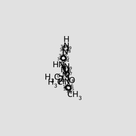 CCC(CC)n1c(C(=O)Nc2ccc(C)cc2)cc2cnc(Nc3ccc(N4CCNCC4)cc3)nc21